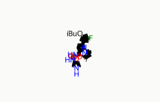 CC(C)COc1cc(F)cc(-c2ccc(C(=O)NS(=O)(=O)N[C@@H]3CCNC3)c(N3C[C@@H](C)CC3(C)C)n2)c1